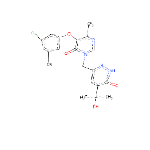 CC(C)(O)c1cc(Cn2cnc(C(F)(F)F)c(Oc3cc(Cl)cc(C#N)c3)c2=O)n[nH]c1=O